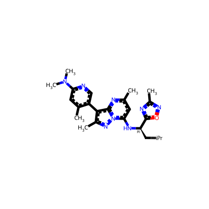 Cc1cc(N[C@H](CC(C)C)c2nc(C)no2)n2nc(C)c(-c3cnc(N(C)C)cc3C)c2n1